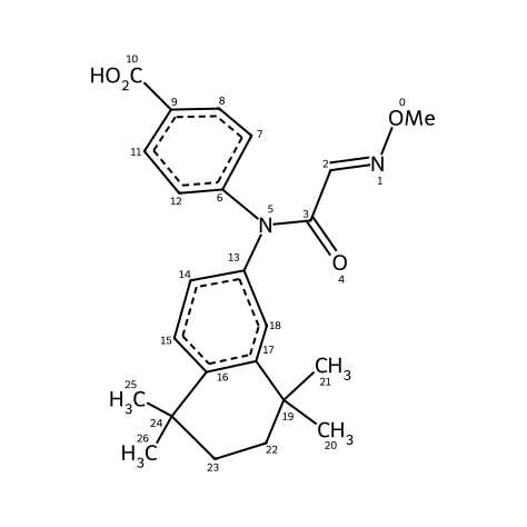 CON=CC(=O)N(c1ccc(C(=O)O)cc1)c1ccc2c(c1)C(C)(C)CCC2(C)C